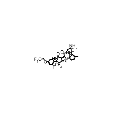 Cc1ccc(-n2nc3c(c2C(=O)NCC(N)=O)C(=O)N[C@@](c2ccc(OCC(F)(F)F)cc2F)(C(F)(F)F)C3)nc1